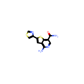 NC(=O)c1cnc(N)c2cc(-c3cscn3)sc12